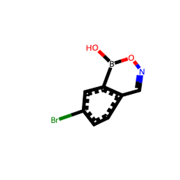 OB1ON=Cc2ccc(Br)cc21